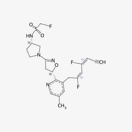 C#C/C=C(F)\C=C(\F)Cc1cc(C)cnc1[C@@H]1CC(N2CC[C@H](NS(=O)(=O)CF)C2)=NO1